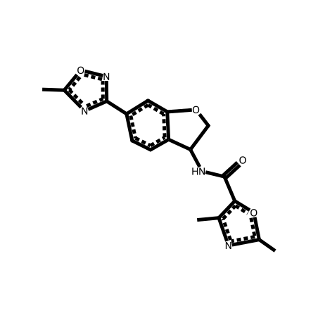 Cc1nc(-c2ccc3c(c2)OCC3NC(=O)c2oc(C)nc2C)no1